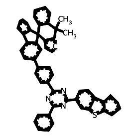 CC1(C)c2ccccc2C2(c3ccccc3-c3ccc(-c4ccc(-c5nc(-c6ccccc6)nc(-c6ccc7c(c6)sc6ccccc67)n5)cc4)cc32)c2ccccc21